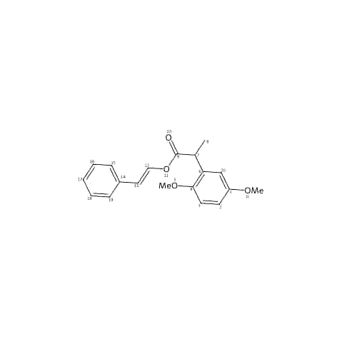 COc1ccc(OC)c(C(C)C(=O)OC=Cc2ccccc2)c1